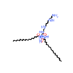 CCCCCCCCCCCCCCCCCC(=O)NN(CC(=O)NCCCNCCCCNCCCN)NC(=O)CCCCCCCCCCCCCCCCC